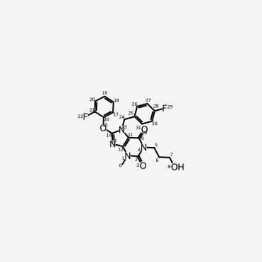 Cn1c(=O)n(CCCO)c(=O)c2c1nc(Oc1ccccc1F)n2Cc1ccc(F)cc1